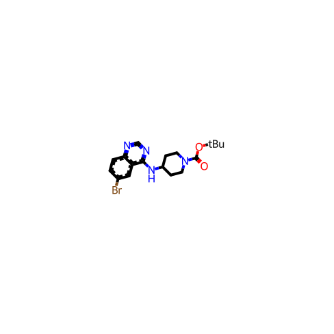 CC(C)(C)OC(=O)N1CCC(Nc2ncnc3ccc(Br)cc23)CC1